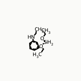 CCNc1ccccc1.CCO[SiH2]OCC